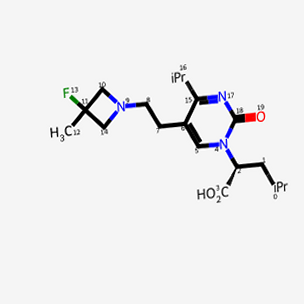 CC(C)C[C@@H](C(=O)O)n1cc(CCN2CC(C)(F)C2)c(C(C)C)nc1=O